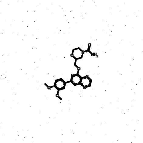 COc1ccc(-c2cc3nccnc3c(OCC3CN(C(N)=O)CCO3)n2)cc1OC